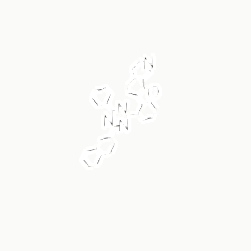 c1ccc(-c2nc(-c3ccc4ccccc4c3)nc(-c3cccc4oc5c6cnccc6ccc5c34)n2)cc1